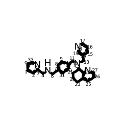 c1ccc(CNCc2ccc(CN(Cc3cccnc3)C3CCCc4cccnc43)cc2)nc1